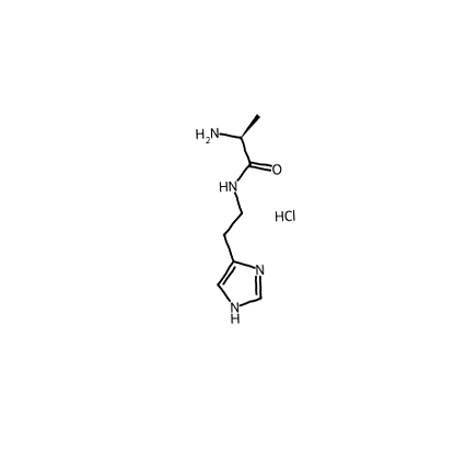 C[C@H](N)C(=O)NCCc1c[nH]cn1.Cl